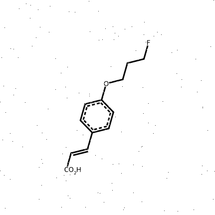 O=C(O)/C=C/c1ccc(OCCCF)cc1